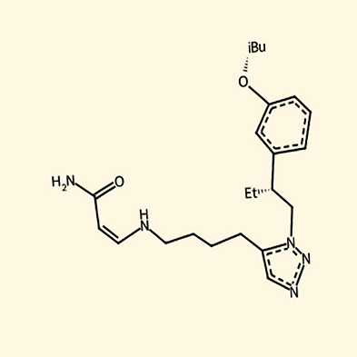 CC[C@@H](Cn1nncc1CCCCN/C=C\C(N)=O)c1cccc(O[C@@H](C)CC)c1